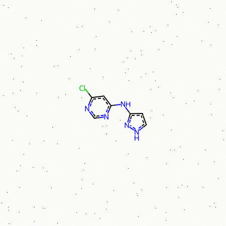 Clc1cc(Nc2cc[nH]n2)ncn1